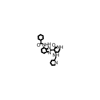 O=C(Nc1cccc2nc(-c3c(NCc4ccccn4)cc[nH]c3=O)[nH]c12)c1ccccc1